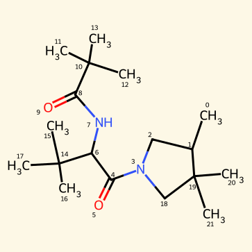 CC1CN(C(=O)C(NC(=O)C(C)(C)C)C(C)(C)C)CC1(C)C